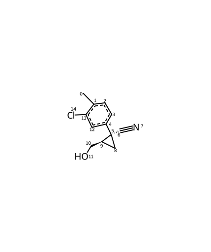 Cc1ccc([C@@]2(C#N)C[C@H]2CO)cc1Cl